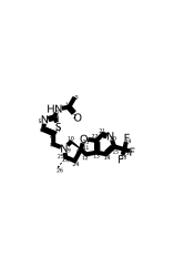 CC(=O)Nc1ncc(CN2C[C@@]3(Cc4cc(C(F)(F)F)ncc4O3)C[C@@H]2C)s1